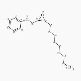 CCCCCCCCCC1OC1COc1ccccc1